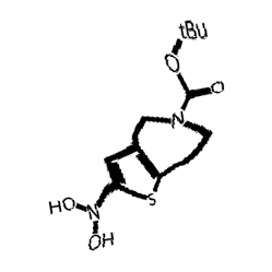 CC(C)(C)OC(=O)N1CCc2sc(N(O)O)cc2C1